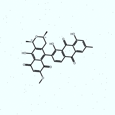 COC1=CC(=O)c2c(O)c3c(c(-c4ccc5c(c4O)C(=O)c4c(O)cc(C)cc4C5=O)c2C1=O)C[C@H](C)O[C@@H]3C